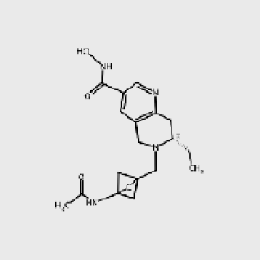 CC[C@H]1Cc2ncc(C(=O)NO)cc2CN1CC12CC(NC(C)=O)(C1)C2